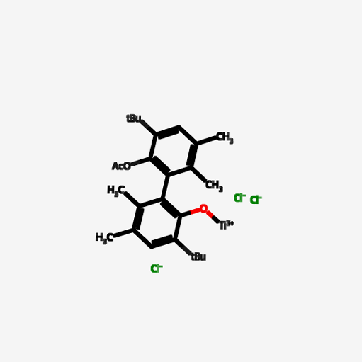 CC(=O)Oc1c(C(C)(C)C)cc(C)c(C)c1-c1c(C)c(C)cc(C(C)(C)C)c1[O][Ti+3].[Cl-].[Cl-].[Cl-]